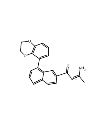 C/C(N)=N/C(=O)c1ccc2cccc(-c3cccc4c3OCCO4)c2c1